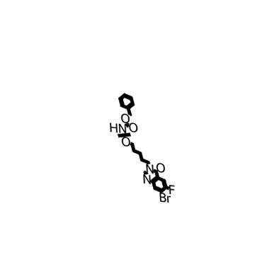 CC(C)(NC(=O)OCc1ccccc1)OCCCCCn1cnc2cc(Br)c(F)cc2c1=O